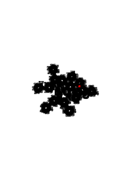 N#Cc1c(-c2nc(-n3c4ccc(-c5ccccc5)cc4c4cc(-c5ccccc5)ccc43)nc(-n3c4ccc(-c5ccccc5)cc4c4cc(-c5ccccc5)ccc43)n2)c(-c2ccccc2)c(-c2ccccc2)c(-c2ccccc2)c1-n1c2ccccc2c2c3oc4ccccc4c3ccc21